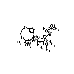 CC(C)[C@H]1COCCCCOc2ccc(cc2)C[C@@H](NC(=O)N[C@@](C)(CC2CC(NC(=O)OC(C)(C)C)C2)C(=O)OC(C)(C)C)C(=O)N1